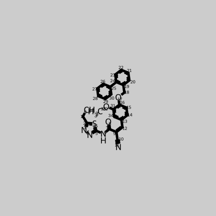 CCc1nnc(NC(=O)C(C#N)=Cc2ccc(OCc3ccccc3-c3ccccc3)c(OC)c2)s1